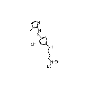 CCN(CC)CCCNc1ccc(/N=N/c2n(C)cc[n+]2C)cc1.[Cl-]